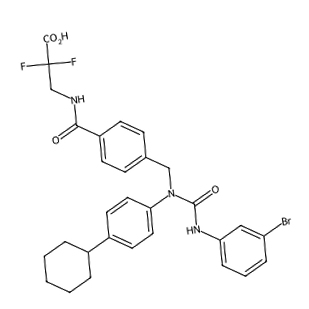 O=C(NCC(F)(F)C(=O)O)c1ccc(CN(C(=O)Nc2cccc(Br)c2)c2ccc(C3CCCCC3)cc2)cc1